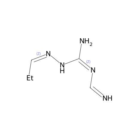 CC/C=N\N/C(N)=N\C=N